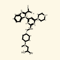 CC(C)C(O)CN(C)[C@H]1CC[C@H](CNc2nc(N3CCOCC3)cc(-n3c(C(F)F)nc4ccccc43)n2)CC1